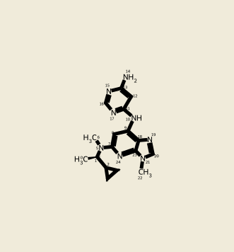 C[C@H](C1CC1)N(C)c1cc(Nc2cc(N)ncn2)c2ncn(C)c2n1